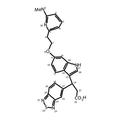 CNc1cccc(CCOc2ccc3c(C(CC(=O)O)c4ccc5nsnc5c4)c[nH]c3c2)n1